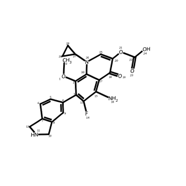 COc1c(-c2ccc3c(c2)CNC3)c(F)c(N)c2c(=O)c(OC(=O)O)cn(C3CC3)c12